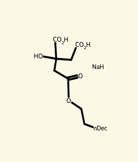 CCCCCCCCCCCCOC(=O)CC(O)(CC(=O)O)C(=O)O.[NaH]